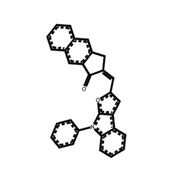 O=C1/C(=C\c2cc3c4ccccc4n(-c4ccccc4)c3o2)Cc2cc3ccccc3cc21